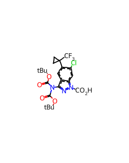 CC(C)(C)OC(=O)N(C(=O)OC(C)(C)C)c1nn(C(=O)O)c2cc(Cl)c(C3(C(F)(F)F)CC3)cc12